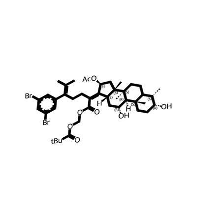 CC(=O)O[C@H]1C[C@@]2(C)[C@H](C[C@@H](O)[C@@H]3[C@@]4(C)CC[C@@H](O)[C@@H](C)C4CC[C@@]32C)C1=C(CCC(=C(C)C)c1cc(Br)cc(Br)c1)C(=O)OCOC(=O)C(C)(C)C